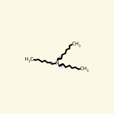 CCCCCC/C=C/N(/C=C/CCCCCC)/C=C/CCCCCC